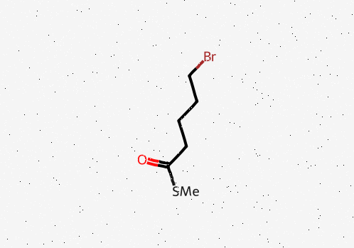 CSC(=O)CCCCBr